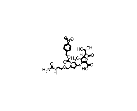 C[C@@H](O)[C@H]1C(=O)N2C(C(=O)O)=C(S[C@H]3C[C@@H](COCCNC(N)=O)N(C(=O)OCc4ccc([N+](=O)[O-])cc4)C3)[C@H](C)[C@H]12